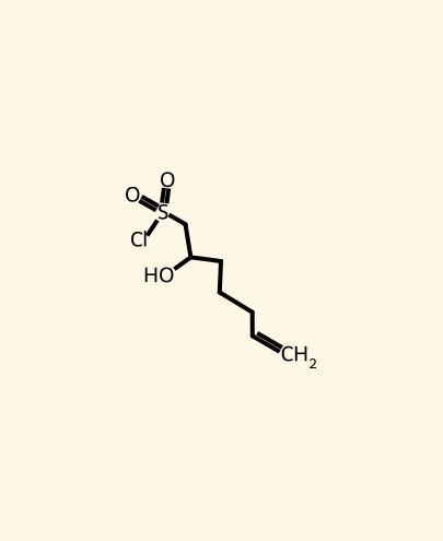 C=CCCCC(O)CS(=O)(=O)Cl